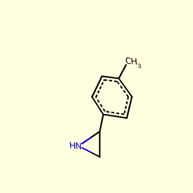 Cc1ccc(C2CN2)cc1